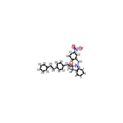 CC1(C)c2ccccc2N2Cc3cc([N+](=O)[O-])ccc3OC21/C=C/c1ccc(/C=C/c2ccccc2)cc1